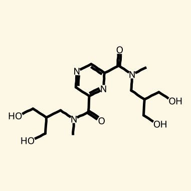 CN(CC(CO)CO)C(=O)c1cncc(C(=O)N(C)CC(CO)CO)n1